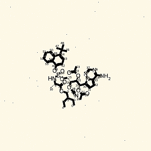 CCC(CC)COC(=O)[C@H](C)NP(=O)(OC[C@@H](OC#N)[C@@H](OC(C)=O)[C@@H](OC(C)=O)c1ccc2c(N)ncnn12)Oc1ccc(C(C)(C)C)c2ccccc12